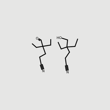 CCC(C=O)(CC)CCC#N.CCC(CC)(CO)CCC#N